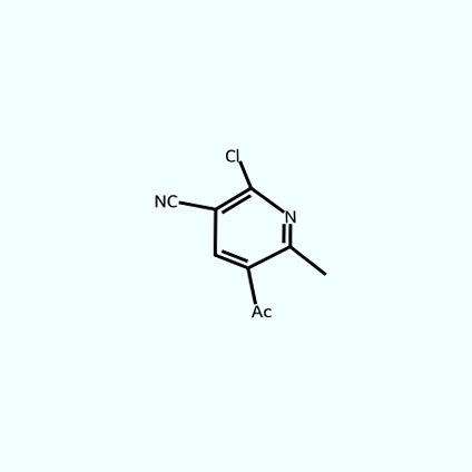 CC(=O)c1cc(C#N)c(Cl)nc1C